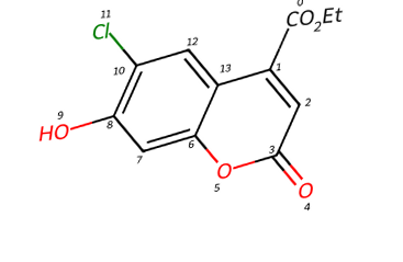 CCOC(=O)c1cc(=O)oc2cc(O)c(Cl)cc12